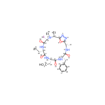 CCC1c2nnc(o2)[C@H](C)NC(=O)[C@H](Cc2ccccc2)NC(=O)[C@H](CC(=O)O)NC(=O)[C@H](CC(C)C)NC(=O)[C@H](I)N1CC